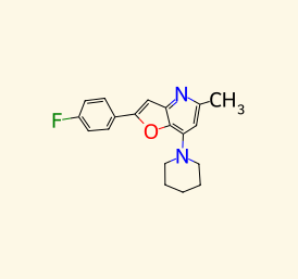 Cc1cc(N2CCCCC2)c2oc(-c3ccc(F)cc3)cc2n1